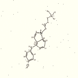 C[Si](C)(C)CCOCn1ccc2c(Sc3ccc(Cl)cc3)cccc21